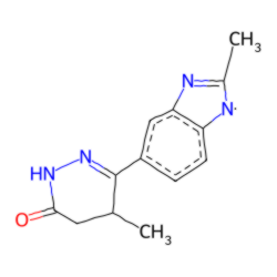 CC1=Nc2cc(C3=NNC(=O)CC3C)ccc2[N]1